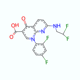 O=C(O)c1cn(-c2ccc(F)cc2F)c2nc(NCC(F)F)ccc2c1=O